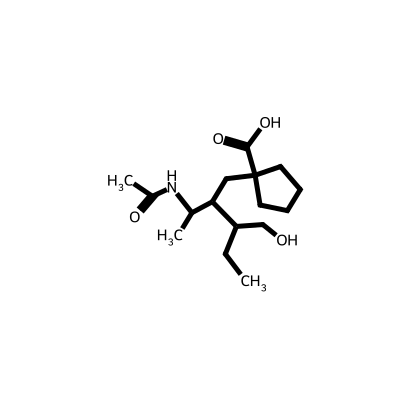 CCC(CO)C(CC1(C(=O)O)CCCC1)C(C)NC(C)=O